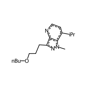 CCCCOCCCc1nn(C)c2c(C(C)C)ccnc12